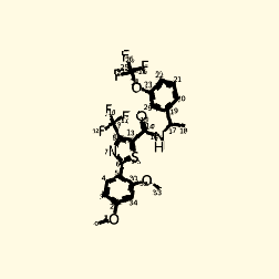 COc1ccc(-c2nc(C(F)(F)F)c(C(=O)NC(C)c3cccc(OC(F)(F)F)c3)s2)c(OC)c1